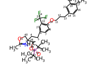 CC1=NC(CCc2ccc(OCCCc3ccc(C)c(C)c3)c(C(F)(F)F)c2)(COP(=O)(C(C)(C)C)C(C)(C)C)CO1